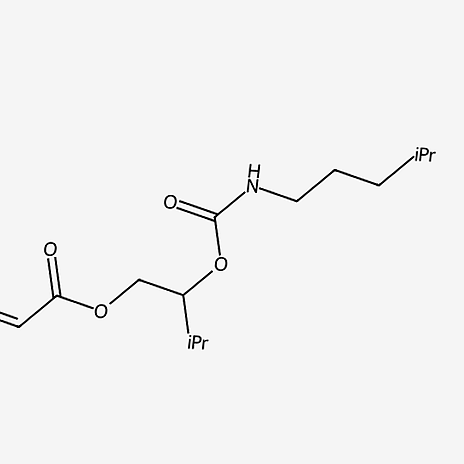 C=CC(=O)OCC(OC(=O)NCCCC(C)C)C(C)C